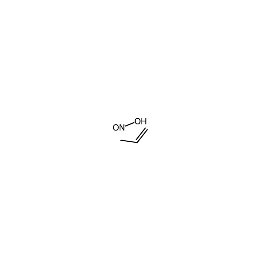 C=CC.O=NO